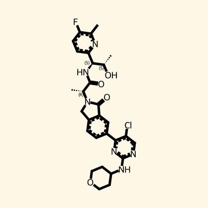 Cc1nc([C@H](NC(=O)[C@@H](C)N2Cc3ccc(-c4nc(NC5CCOCC5)ncc4Cl)cc3C2=O)[C@H](C)O)ccc1F